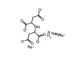 N.O=C([O-])CC(NC(CC(=O)[O-])C(=O)[O-])C(=O)[O-].[Na+].[Na+].[Na+].[Na+]